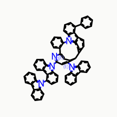 C1=C2/N=C(n3c4ccccc4c4c(-n5c6ccccc6c6ccccc65)cccc43)\C=C(\n3c4ccccc4c4ccccc43)C(C/1)c1ccc3c4c(-c5ccccc5)cccc4n(c3c1)-c1ccccc12